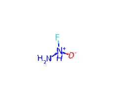 N[NH+]([O-])F